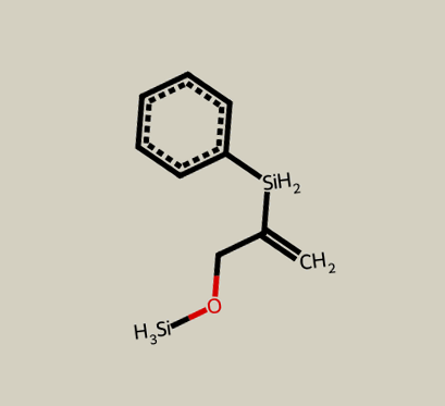 C=C(CO[SiH3])[SiH2]c1ccccc1